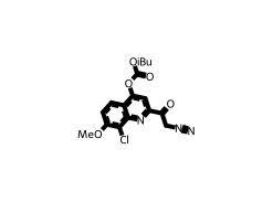 COc1ccc2c(OC(=O)OCC(C)C)cc(C(=O)C[N+]#N)nc2c1Cl